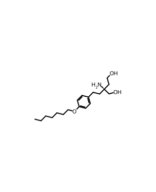 CCCCCCCOc1ccc(CC[C@@](N)(CO)CCO)cc1